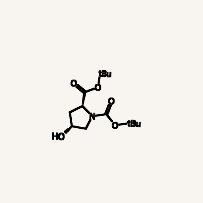 CC(C)(C)OC(=O)[C@@H]1C[C@H](O)CN1C(=O)OC(C)(C)C